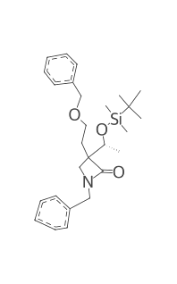 C[C@@H](O[Si](C)(C)C(C)(C)C)C1(CCOCc2ccccc2)CN(Cc2ccccc2)C1=O